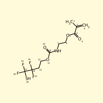 C=C(C)C(=O)OCCNC(=O)OCCC(F)(F)C(F)(F)S